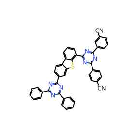 N#Cc1ccc(-c2nc(-c3cccc(C#N)c3)nc(-c3cccc4c3sc3cc(-c5nc(-c6ccccc6)nc(-c6ccccc6)n5)ccc34)n2)cc1